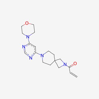 C=CC(=O)N1CC2(CCN(c3cc(N4CCOCC4)ncn3)CC2)C1